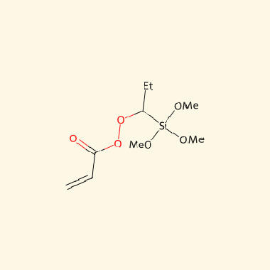 C=CC(=O)OOC(CC)[Si](OC)(OC)OC